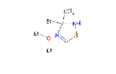 CCC1(C(Cl)(Cl)Cl)N=CSN1.CCOCC